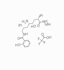 CCCCNC(=O)[C@@H](C[C@H](O)[C@@H](N)C[C@H](CNC(=O)c1ccccc1O)C(C)C)C(C)C.O=C(O)C(F)(F)F